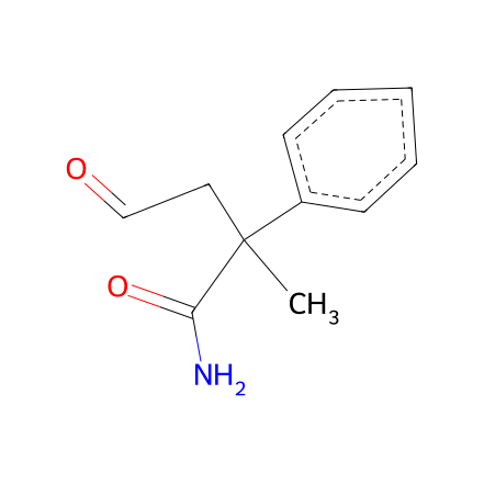 CC(CC=O)(C(N)=O)c1ccccc1